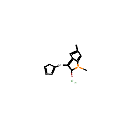 CC1=CC2=[C]([Zr+2][C]3=CC=CC3)C(Br)P(C)C2=C1.[Cl-].[Cl-]